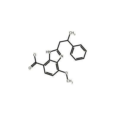 COc1ccc(C(=O)Cl)c2[nH]c(CC(C)c3ccccc3)nc12